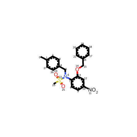 Cc1ccc(CN(c2ccc([N+](=O)[O-])cc2OCc2ccccc2)S(C)(=O)=O)cc1